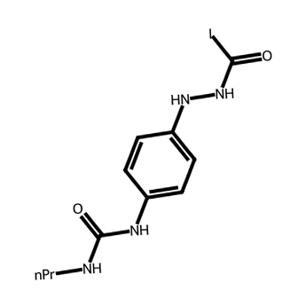 CCCNC(=O)Nc1ccc(NNC(=O)I)cc1